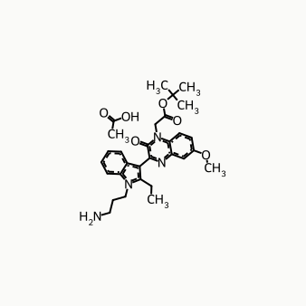 CC(=O)O.CCc1c(-c2nc3cc(OC)ccc3n(CC(=O)OC(C)(C)C)c2=O)c2ccccc2n1CCCN